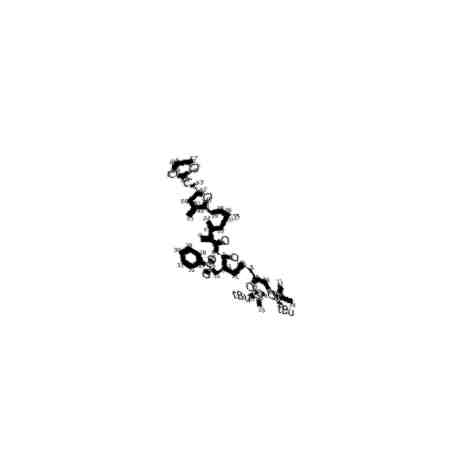 C=C(C(=O)C[C@@H]1O[C@H](C[C@@H](CO[Si](C)(C)C(C)(C)C)O[Si](C)(C)C(C)(C)C)C[C@H]1CS(=O)(=O)c1ccccc1)C(C)C[C@@H](C)CC[C@@H]1O[C@@H](CCC2OCCO2)CC1=C